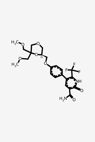 COCC1(COC)COC[C@@H](COc2ccc(-c3cc(C(N)=O)c(=O)[nH]c3C(F)(F)F)cc2)O1